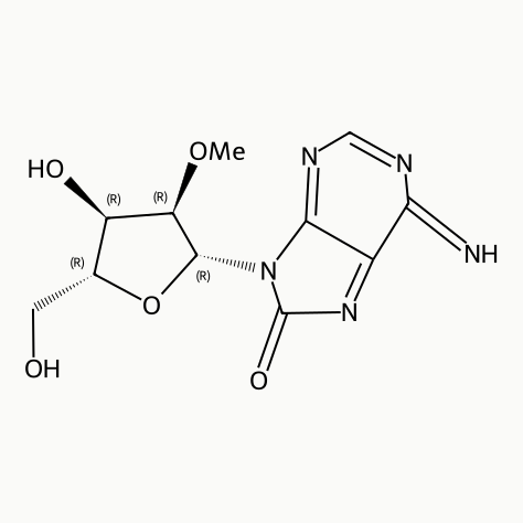 CO[C@@H]1[C@H](O)[C@@H](CO)O[C@H]1N1C(=O)N=C2C(=N)N=CN=C21